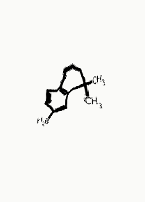 Bc1ccc2c(c1)C(C)(C)CC2